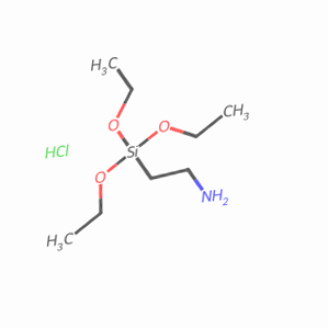 CCO[Si](CCN)(OCC)OCC.Cl